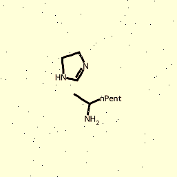 C1=NCCN1.CCCCCC(C)N